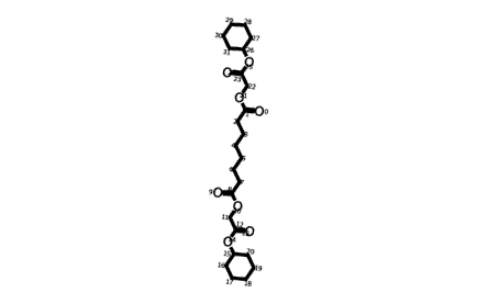 O=C(CCCCCCC(=O)OCC(=O)OC1CCCCC1)OCC(=O)OC1CCCCC1